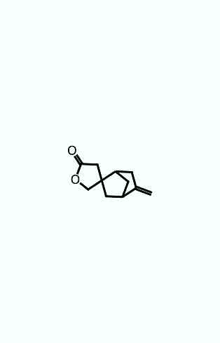 C=C1CC2CC1CC21COC(=O)C1